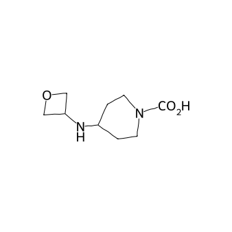 O=C(O)N1CCC(NC2COC2)CC1